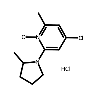 Cc1cc(Cl)cc(N2CCCC2C)[n+]1[O-].Cl